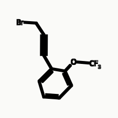 FC(F)(F)Oc1ccccc1C#CCBr